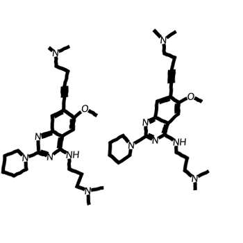 COc1cc2c(NCCCN(C)C)nc(N3CCCCC3)nc2cc1C#CCCN(C)C.COc1cc2c(NCCCN(C)C)nc(N3CCCCC3)nc2cc1C#CCCN(C)C